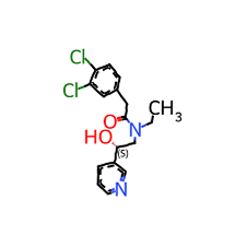 CCN(C[C@@H](O)c1cccnc1)C(=O)Cc1ccc(Cl)c(Cl)c1